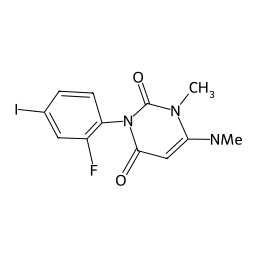 CNc1cc(=O)n(-c2ccc(I)cc2F)c(=O)n1C